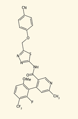 COc1ccc(C(F)(F)F)c(F)c1-c1cc(C)ncc1C(=O)Nc1nnc(COc2ccc(C#N)cc2)s1